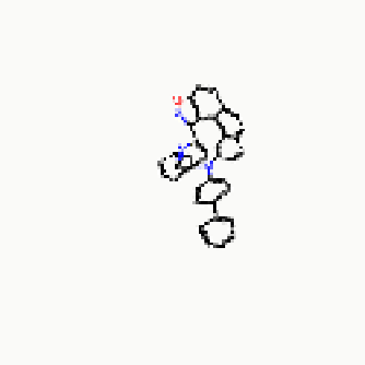 c1ccc(-c2ccc(N(c3ccccc3)c3ccc4ccc5ccc6onc(-c7ccccn7)c6c5c4c3)cc2)cc1